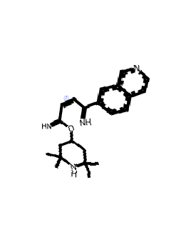 CC1(C)CC(OC(=N)/C=C\C(=N)c2ccc3ccncc3c2)CC(C)(C)N1